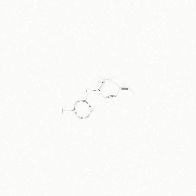 C=C(/C=C\C(C=O)=C/C)Oc1cccc(F)c1